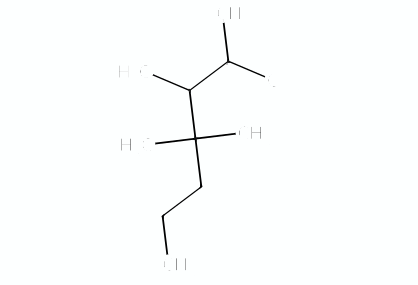 CCCC(C)(C)C(C)[C](C)C